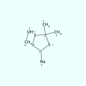 CC1(C)SC[CH]([Na])S1.CO